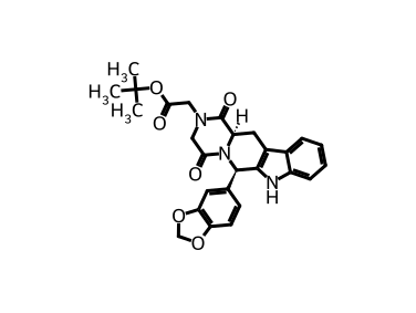 CC(C)(C)OC(=O)CN1CC(=O)N2[C@H](c3ccc4c(c3)OCO4)c3[nH]c4ccccc4c3C[C@@H]2C1=O